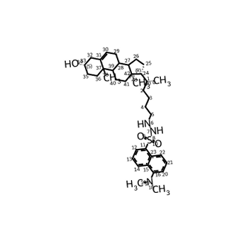 C[C@H](CCCCNNS(=O)(=O)c1cccc2c(N(C)C)cccc12)[C@H]1CCC2C3CC=C4C[C@@H](O)CCC4(C)C3CC[C@@]21C